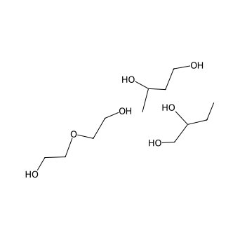 CC(O)CCO.CCC(O)CO.OCCOCCO